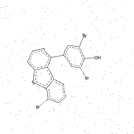 Oc1c(Br)cc(-c2cccc3sc4c(Br)cccc4c23)cc1Br